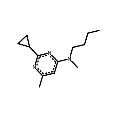 CCCCN(C)c1cc(C)nc(C2CC2)n1